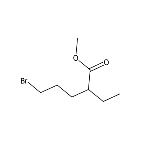 CCC(CCCBr)C(=O)OC